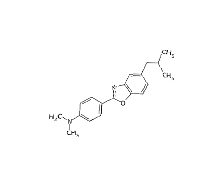 C[C](C)Cc1ccc2oc(-c3ccc(N(C)C)cc3)nc2c1